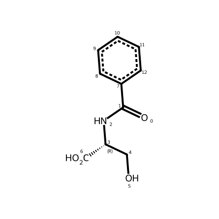 O=C(N[C@H](CO)C(=O)O)c1ccccc1